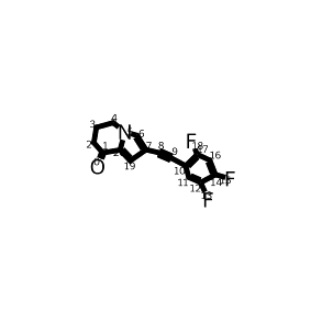 O=C1CCCn2cc(C#Cc3cc(F)c(F)cc3F)cc21